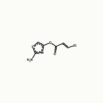 CCC=CC(=O)Oc1csc(N)n1